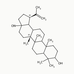 C=C(C)[C@@H]1CCC2(N=O)CC[C@]3(C)C(CCC4C5(C)CCC(O)C(C)(C)C5CCC43C)C12